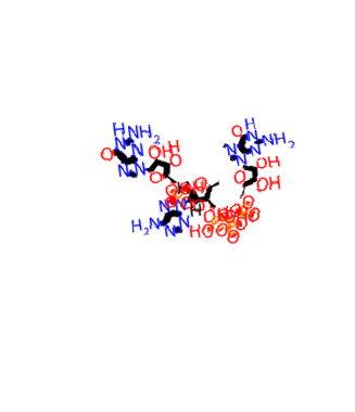 C[C@@H]1O[C@H]2[C@H](n3cnc4c(N)ncnc43)O[C@]1(COP(=O)(O)OP(=O)(O)OP(=O)(O)OC[C@@H]1O[C@H](n3c[n+](C)c4c(=O)[nH]c(N)nc43)[C@@H](O)[C@H]1O)[C@H]2OP(=O)(O)OC[C@H]1O[C@@H](n2cnc3c(=O)[nH]c(N)nc32)[C@H](O)[C@@H]1O